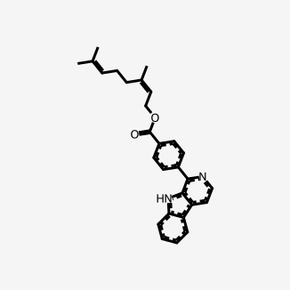 CC(C)=CCCC(C)=CCOC(=O)c1ccc(-c2nccc3c2[nH]c2ccccc23)cc1